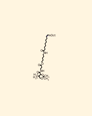 CCCCCCCC/C=C\CCCCCCCC(=O)NCCCCCOC(=O)CCNC(=O)C1OC(C)(C)OCC1(C)C